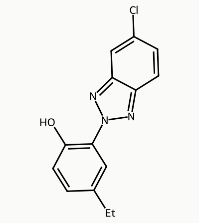 CCc1ccc(O)c(-n2nc3ccc(Cl)cc3n2)c1